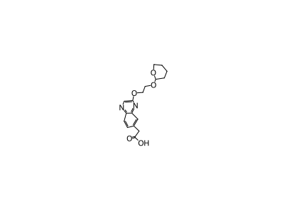 O=C(O)Cc1ccc2ncc(OCCOC3CCCCO3)nc2c1